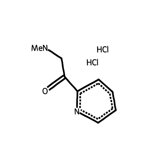 CNCC(=O)c1ccccn1.Cl.Cl